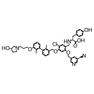 Cc1c(COc2cc(OCc3cncc(C#N)c3)c(CN[C@@H](Cc3ccc(O)cc3)C(=O)O)cc2Cl)cccc1-c1cccc(OCCCN2CC[C@@H](O)C2)c1C